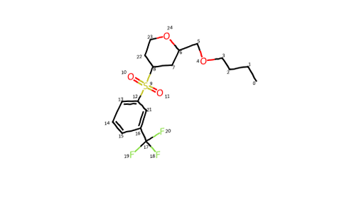 CCCCOCC1CC(S(=O)(=O)c2cccc(C(F)(F)F)c2)CCO1